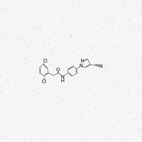 N#Cc1cnn(-c2ccc(NC(=O)Cc3cc(Cl)ccc3Cl)cc2)c1